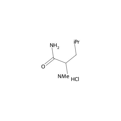 CNC(CC(C)C)C(N)=O.Cl